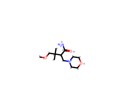 COCC(C)(C)C(CN1CCOCC1)C(N)=O